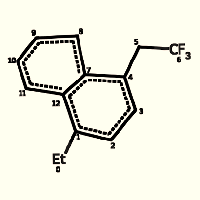 CCc1ccc(CC(F)(F)F)c2ccccc12